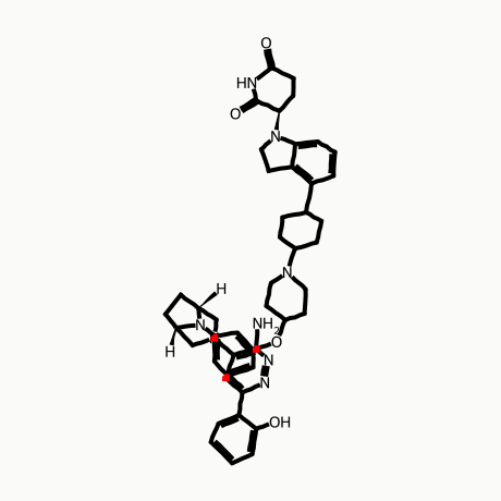 Nc1nnc(-c2ccccc2O)cc1N1C[C@H]2CC[C@@H](C1)N2c1cccc(OC2CCN(C3CCC(c4cccc5c4CCN5[C@@H]4CCC(=O)NC4=O)CC3)CC2)c1